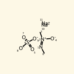 CN=[N+](C)[O-].O=S(=O)([O-])[O-].[Na+].[Na+]